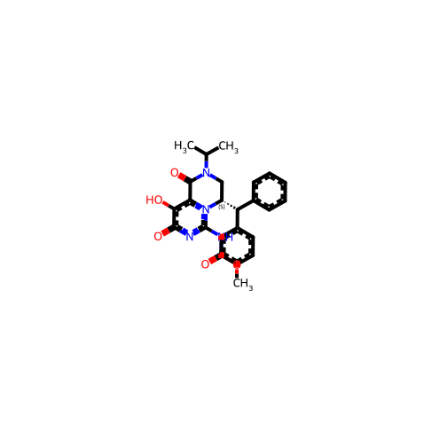 COC(=O)Nc1nc(=O)c(O)c2n1[C@@H](C(c1ccccc1)c1ccccc1)CN(C(C)C)C2=O